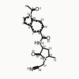 CC(=O)n1ccc2cc(C(=O)NC3CC(C)N(CC#N)C3=O)ccc21